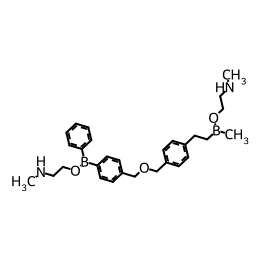 CNCCOB(C)CCc1ccc(COCc2ccc(B(OCCNC)c3ccccc3)cc2)cc1